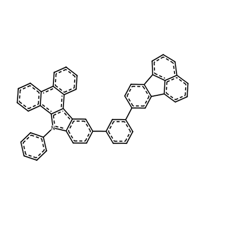 c1ccc(-n2c3ccc(-c4cccc(-c5ccc6c(c5)-c5cccc7cccc-6c57)c4)cc3c3c4ccccc4c4ccccc4c32)cc1